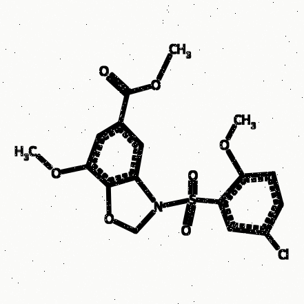 COC(=O)c1cc(OC)c2c(c1)N(S(=O)(=O)c1cc(Cl)ccc1OC)CO2